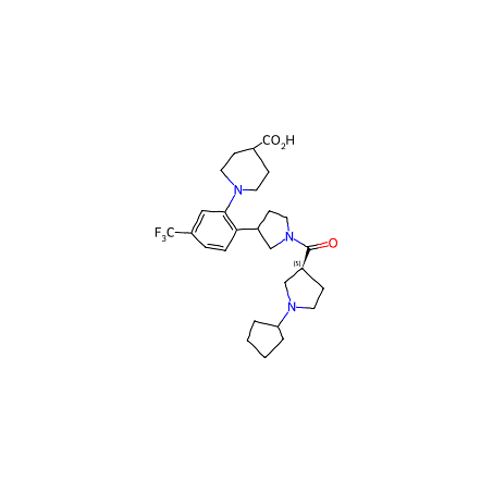 O=C(O)C1CCN(c2cc(C(F)(F)F)ccc2C2CCN(C(=O)[C@H]3CCN(C4CCCC4)C3)C2)CC1